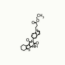 CCOC(=O)CCn1ccc2cc(-n3c(=O)[nH]c4sc5c(c4c3=O)CCCC5)ccc21